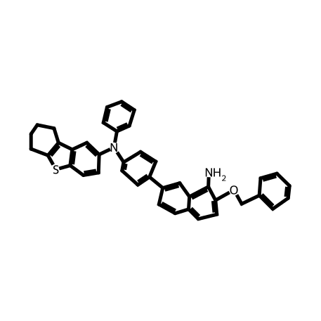 Nc1c(OCc2ccccc2)ccc2ccc(-c3ccc(N(c4ccccc4)c4ccc5sc6c(c5c4)CCCC6)cc3)cc12